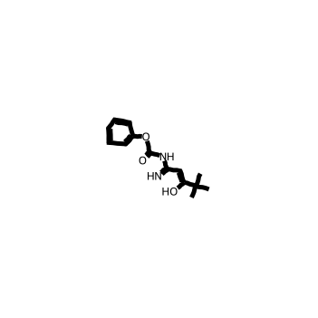 CC(C)(C)/C(O)=C/C(=N)NC(=O)Oc1ccccc1